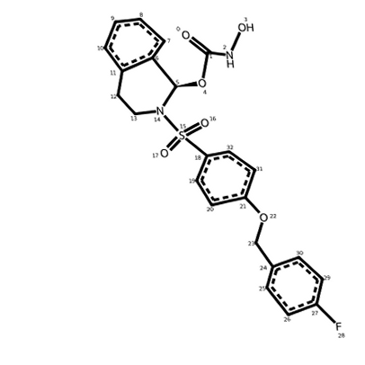 O=C(NO)O[C@@H]1c2ccccc2CCN1S(=O)(=O)c1ccc(OCc2ccc(F)cc2)cc1